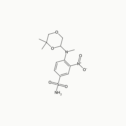 CN(c1ccc(S(N)(=O)=O)cc1[N+](=O)[O-])C1COCC(C)(C)O1